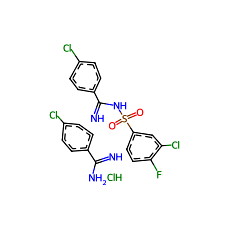 Cl.N=C(N)c1ccc(Cl)cc1.N=C(NS(=O)(=O)c1ccc(F)c(Cl)c1)c1ccc(Cl)cc1